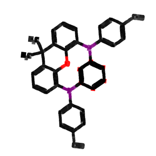 CC1(C)c2cccc(P(c3ccccc3)c3ccc(C=O)cc3)c2Oc2c(P(c3ccccc3)c3ccc(C=O)cc3)cccc21